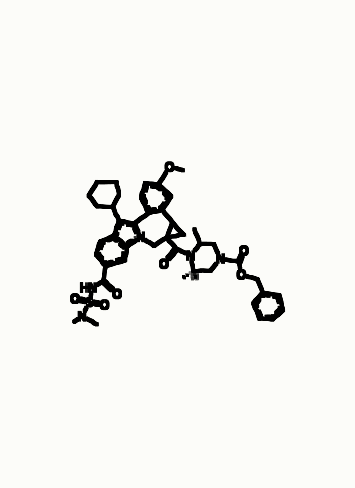 COc1ccc2c(c1)C1CC1(C(=O)N1C(C)CN(C(=O)OCc3ccccc3)C[C@@H]1C)Cn1c-2c(C2CCCCC2)c2ccc(C(=O)NS(=O)(=O)N(C)C)cc21